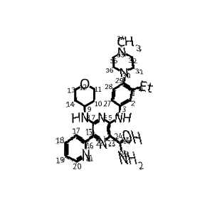 CCc1cc(Nc2nc(NC3CCOCC3)c(-c3ccccn3)nc2C(N)O)ccc1N1CCN(C)CC1